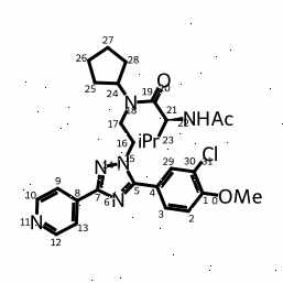 COc1ccc(-c2nc(-c3ccncc3)nn2CCN(C(=O)[C@@H](NC(C)=O)C(C)C)C2CCCC2)cc1Cl